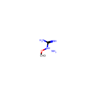 N.N=C(N)NOC=O